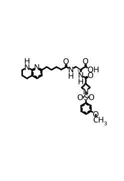 COc1cccc(S(=O)(=O)N2CC(C(=O)N[C@@H](CNC(=O)CCCCc3ccc4c(n3)NCCC4)C(=O)O)C2)c1